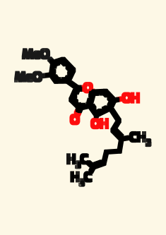 COc1ccc(-c2cc(=O)c3c(O)c(C/C=C(\C)CCC=C(C)C)c(O)cc3o2)cc1OC